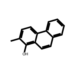 Cc1ccc2c(ccc3ccccc32)c1O